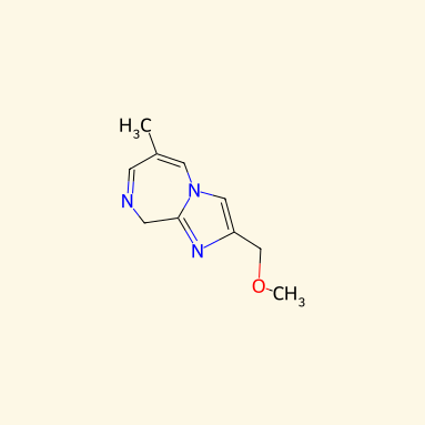 COCc1cn2c(n1)CN=CC(C)=C2